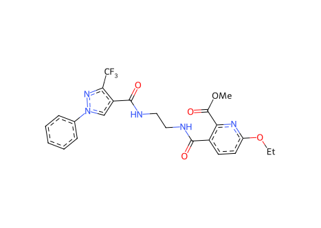 CCOc1ccc(C(=O)NCCNC(=O)c2cn(-c3ccccc3)nc2C(F)(F)F)c(C(=O)OC)n1